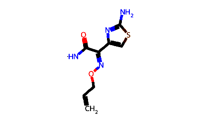 C=CCON=C(C([NH])=O)c1csc(N)n1